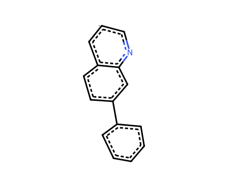 [c]1cnc2cc(-c3ccccc3)ccc2c1